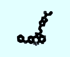 C=CC(=O)N1CC2CN(CCn3nc(-c4ccc(Oc5ccccc5)cc4)c4c(N)ncnc43)CC2C1